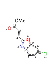 COC(=O)C=Cc1nc2ccc(Cl)cc2o1